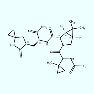 CC1(C(NC(=O)C(F)(F)F)C(=O)N2C[C@H]3[C@@H]([C@H]2C(=O)N[C@@H](C[C@@H]2CC4(CC4)NC2=O)C(N)=O)C3(C)C)CC1